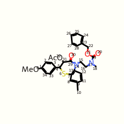 COc1ccc(C2Sc3cc(C)ccc3N(CCN(C)C(=O)OCc3ccccc3)C(=O)C2OC(C)=O)cc1